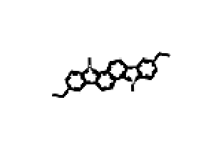 CCc1ccc2c(c1)c1ccc3c(ccc4c5cc(CC)ccc5n(C)c43)c1n2C